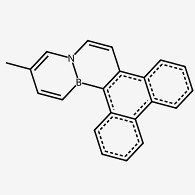 CC1=CN2C=Cc3c(c4ccccc4c4ccccc34)B2C=C1